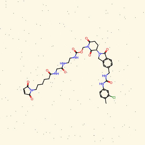 Cc1ccc(NC(=O)NCc2ccc3c(c2)CN(C2CCC(=O)N(COC(=O)NCCNC(=O)CNC(=O)CCCCCN4C(=O)C=CC4=O)C2=O)C3=O)cc1Cl